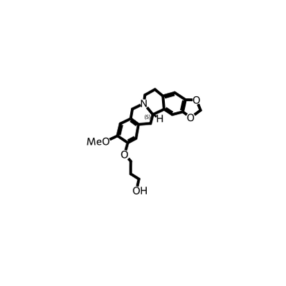 COc1cc2c(cc1OCCCO)C[C@H]1c3cc4c(cc3CCN1C2)OCO4